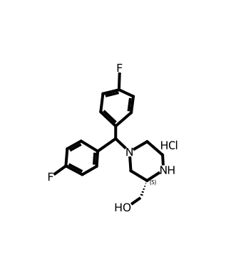 Cl.OC[C@@H]1CN(C(c2ccc(F)cc2)c2ccc(F)cc2)CCN1